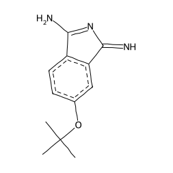 CC(C)(C)Oc1ccc2c(c1)C(=N)N=C2N